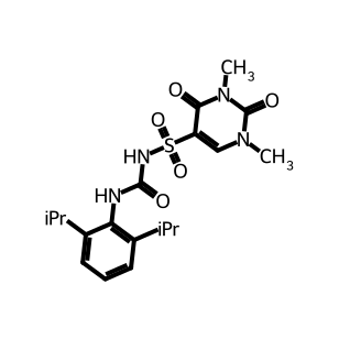 CC(C)c1cccc(C(C)C)c1NC(=O)NS(=O)(=O)c1cn(C)c(=O)n(C)c1=O